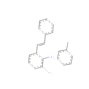 Cc1ccccc1.Nc1cccc(C=Cc2ccccc2)c1N